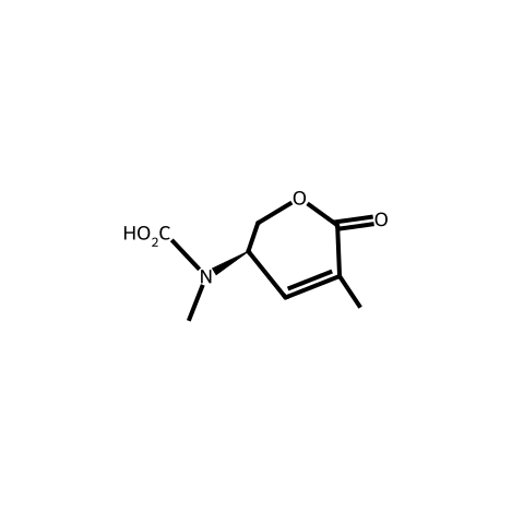 CC1=C[C@@H](N(C)C(=O)O)COC1=O